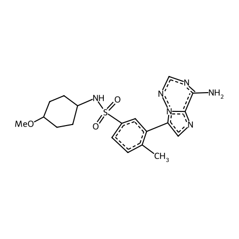 COC1CCC(NS(=O)(=O)c2ccc(C)c(-c3cnc4c(N)ncnn34)c2)CC1